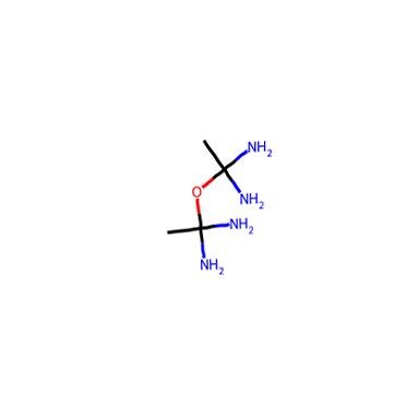 CC(N)(N)OC(C)(N)N